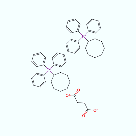 O=C([O-])CCC(=O)[O-].c1ccc([P+](c2ccccc2)(c2ccccc2)C2CCCCCCC2)cc1.c1ccc([P+](c2ccccc2)(c2ccccc2)C2CCCCCCC2)cc1